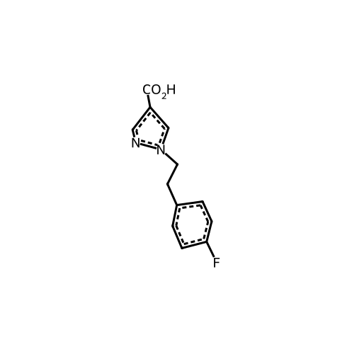 O=C(O)c1cnn(CCc2ccc(F)cc2)c1